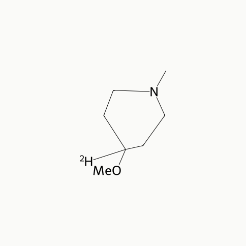 [2H]C1(OC)CCN(C)CC1